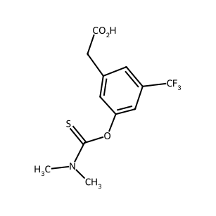 CN(C)C(=S)Oc1cc(CC(=O)O)cc(C(F)(F)F)c1